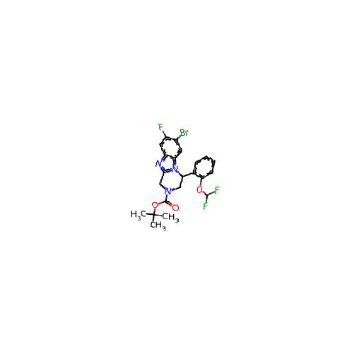 CC(C)(C)OC(=O)N1Cc2nc3cc(F)c(Br)cc3n2C(c2ccccc2OC(F)F)C1